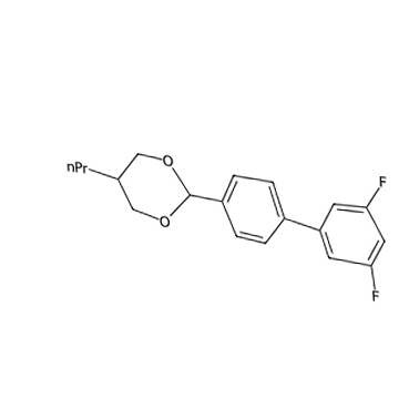 CCCC1COC(c2ccc(-c3cc(F)cc(F)c3)cc2)OC1